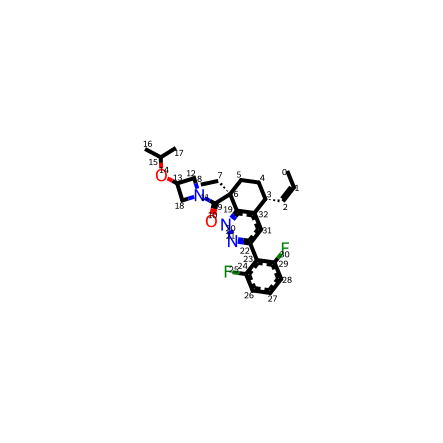 C/C=C\[C@H]1CC[C@](CC)(C(=O)N2CC(OC(C)C)C2)c2nnc(-c3c(F)cccc3F)cc21